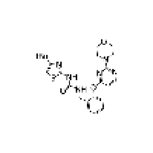 CC(C)(C)c1csc(NC(=O)NCc2ccccc2Oc2ccnc(N3CCOCC3)n2)n1